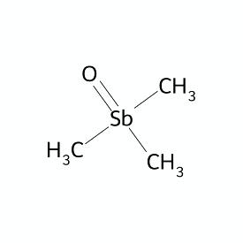 [CH3][Sb]([CH3])([CH3])=[O]